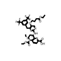 CCOC(=O)CCCOc1cnc(N[C@H]2C[C@@H](CC)N(C(=O)OCC)c3ccc(C(=O)O)nc32)nc1Cc1cc(C(F)(F)F)cc(C(F)(F)F)c1